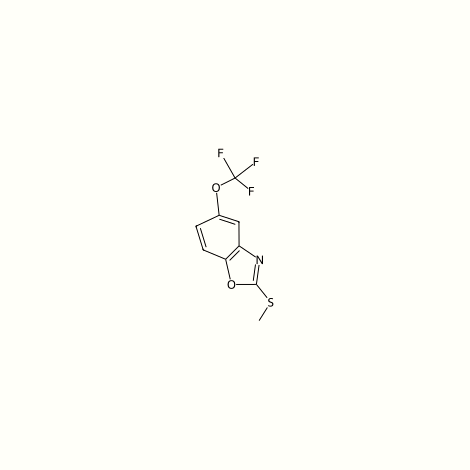 CSc1nc2cc(OC(F)(F)F)ccc2o1